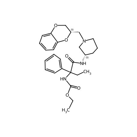 CCOC(=O)NC(CC)(C(=O)N[C@H]1CCCN(C[C@H]2COc3ccccc3O2)C1)c1ccccc1